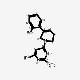 CC(C)c1cc(N2CCC=C(c3ccccc3Br)C2)nc(N)n1